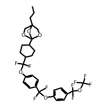 CCCC12COC(C3CCC(C(F)(F)Oc4ccc(C(F)(F)Oc5ccc(C(F)(F)OC(F)(F)F)cc5)cc4)CC3)(OC1)O2